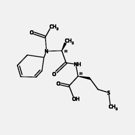 CSCC[C@H](NC(=O)[C@H](C)N(C(C)=O)C1C=CC=CC1)C(=O)O